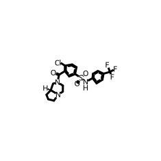 O=C(c1cc(S(=O)(=O)Nc2ccc(C(F)(F)F)cc2)ccc1Cl)N1CCN2CCC[C@@H]2C1